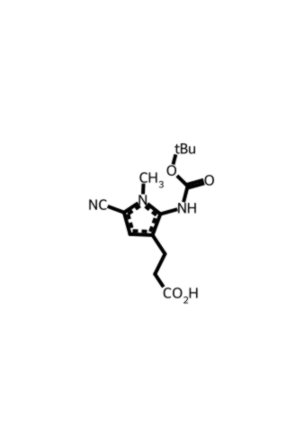 Cn1c(C#N)cc(CCC(=O)O)c1NC(=O)OC(C)(C)C